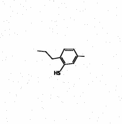 CCCc1ccc(C)cc1S